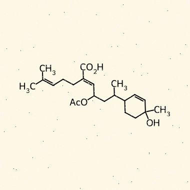 CC(=O)OC(/C=C(\CCC=C(C)C)C(=O)O)CC(C)C1C=CC(C)(O)CC1